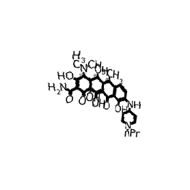 CCCN1CCC(Nc2ccc3c(c2O)C(=O)C2=C(O)[C@]4(O)C(=O)C(C(N)=O)=C(O)[C@@H](N(C)C)C4[C@@H](O)C2[C@H]3C)CC1